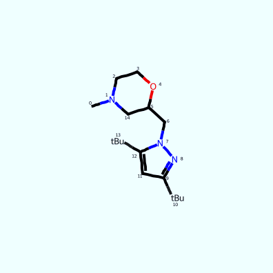 CN1CCOC(Cn2nc(C(C)(C)C)cc2C(C)(C)C)C1